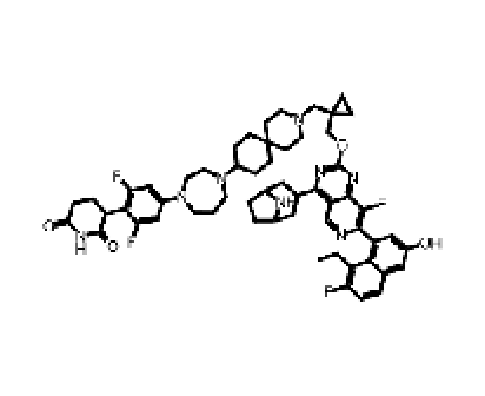 CCc1c(F)ccc2cc(O)cc(-c3ncc4c(C5CC6CCC(C5)N6)nc(OCC5(CN6CCC7(CCC(N8CCCN(c9cc(F)c(C%10CCC(=O)NC%10=O)c(F)c9)CC8)CC7)CC6)CC5)nc4c3F)c12